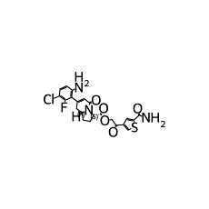 NC(=O)c1cc(C(=O)COC(=O)[C@@H]2CC[C@@H]3CC(c4c(N)ccc(Cl)c4F)=CC(=O)N32)cs1